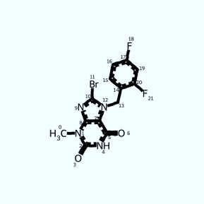 Cn1c(=O)[nH]c(=O)c2c1nc(Br)n2Cc1ccc(F)cc1F